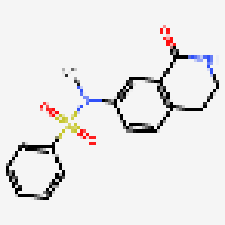 N#CN(c1ccc2c(c1)C(=O)NCC2)S(=O)(=O)c1ccccc1